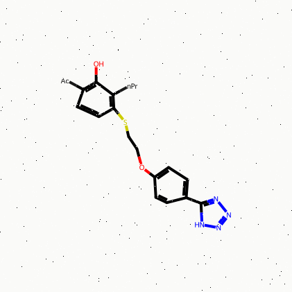 CCCc1c(SCCOc2ccc(-c3nnn[nH]3)cc2)ccc(C(C)=O)c1O